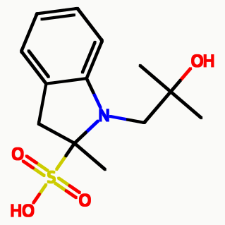 CC(C)(O)CN1c2ccccc2CC1(C)S(=O)(=O)O